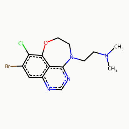 CN(C)CCN1CCOc2c(Cl)c(Br)cc3ncnc1c23